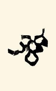 C=C(CO)[C@@H]1c2ccccc2Cc2ccc(F)cc2[C@H]1O